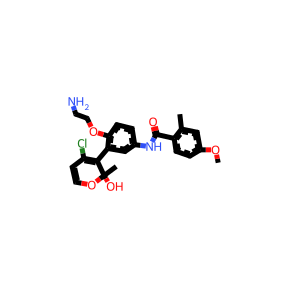 COc1ccc(C(=O)Nc2ccc(OCCN)c(C3=C(Cl)C=COC3(C)O)c2)c(C)c1